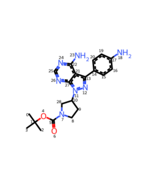 CC(C)(C)OC(=O)N1CCC(n2nc(-c3ccc(N)cc3)c3c(N)ncnc32)C1